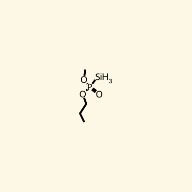 CCCOP(=O)([SiH3])OC